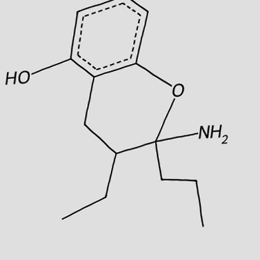 CCCC1(N)Oc2cccc(O)c2CC1CC